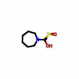 O=S=C(O)N1CCCCCC1